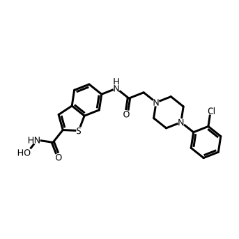 O=C(CN1CCN(c2ccccc2Cl)CC1)Nc1ccc2cc(C(=O)NO)sc2c1